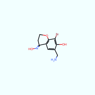 NCc1cc2c(c(Br)c1O)OCCC2=NO